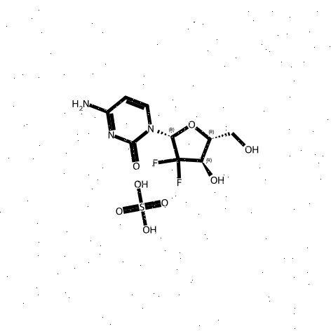 Nc1ccn([C@@H]2O[C@H](CO)[C@@H](O)C2(F)F)c(=O)n1.O=S(=O)(O)O